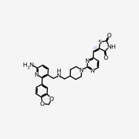 Nc1ccc(CNCC2CCN(c3nccc(/C=C4/SC(=O)NC4=O)n3)CC2)c(-c2ccc3c(c2)OCO3)n1